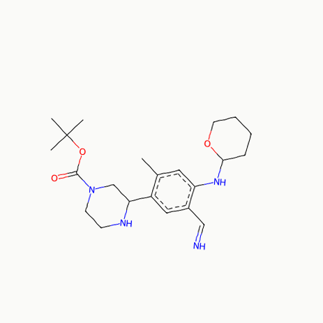 Cc1cc(NC2CCCCO2)c(C=N)cc1C1CN(C(=O)OC(C)(C)C)CCN1